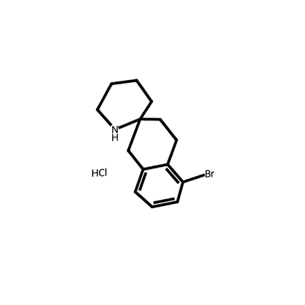 Brc1cccc2c1CCC1(CCCCN1)C2.Cl